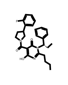 CCCCc1nc(O)c(C(=O)N2CCC(c3ccccc3F)C2)c(=O)n1[C@@H](CC)c1ccccc1